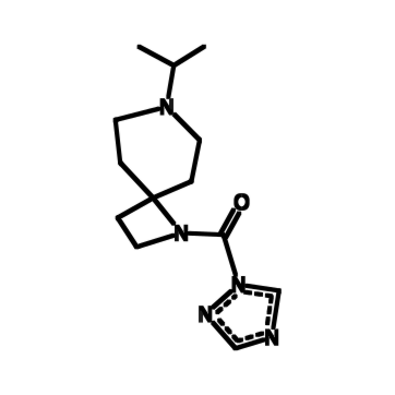 CC(C)N1CCC2(CC1)CCN2C(=O)n1cncn1